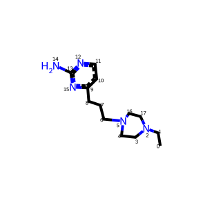 CCN1CCN(CCCc2ccnc(N)n2)CC1